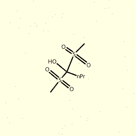 CCCC(O)(S(C)(=O)=O)S(C)(=O)=O